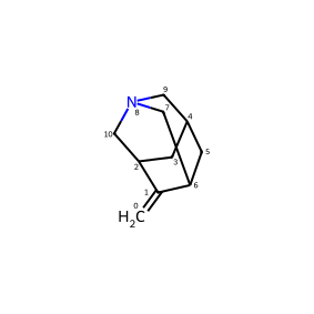 C=C1C2CC3CC1CN(C3)C2